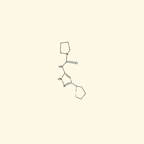 O=C(Nc1cc(C2CCCC2)n[nH]1)N1CCCC1